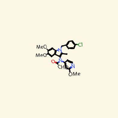 COc1cc(N(C(=O)C=O)c2c(C)n(Cc3ccc(Cl)cc3)c3cc(OC)c(OC)cc23)ccn1